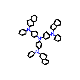 C1=CCC(N(c2ccc(N(c3ccc(N(c4ccccc4)c4ccc5c(c4)C=CCC5)cc3)c3ccc(N(c4ccccc4)c4ccc5ccccc5c4)cc3)cc2)c2ccc3ccccc3c2)C=C1